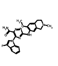 COc1cc2c(cc1Nc1nnc(C(N)=O)c(-n3cc(F)c4ccccc43)n1)CN(C)CC2